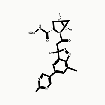 CCCCCCCCNC(=O)[C@@H]1C[C@@]2(C)C[C@H]2N1C(=O)CC1(C(C)=O)N=Nc2c(C)cc(-c3cnc(C)nc3)cc21